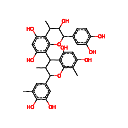 Cc1cc(C2Oc3c(C)c(O)cc(O)c3C(c3c(O)cc(O)c4c3OC(c3ccc(O)c(O)c3)C(O)C4C)C2C)cc(O)c1O